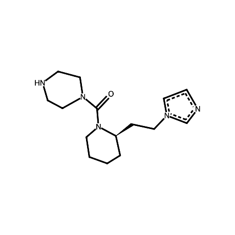 O=C(N1CCNCC1)N1CCCC[C@@H]1CCn1ccnc1